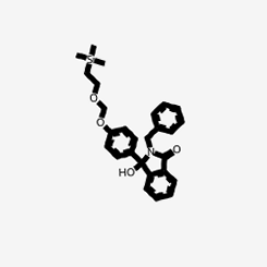 C[Si](C)(C)CCOCOc1ccc(C2(O)c3ccccc3C(=O)N2Cc2ccccc2)cc1